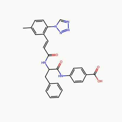 Cc1ccc(-n2cnnn2)c(C=CC(=O)NC(Cc2ccccc2)C(=O)Nc2ccc(C(=O)O)cc2)c1